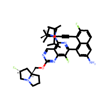 CC(C)[Si](C#Cc1c(F)ccc2cc(N)cc(-c3nc(N4CC[C@@H]4C)c4cnc(OC[C@@]56CCCN5C[C@H](F)C6)nc4c3F)c12)(C(C)C)C(C)C